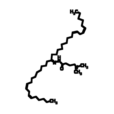 CCCCC/C=C\C/C=C\CCCCCCCCC(CCCCCCCC/C=C\C/C=C\CCCCC)=NNC(=O)CCCN(C)C